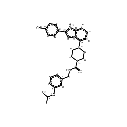 O=C(NCc1cccc(OC(F)F)c1)N1CCN(c2ncnc3[nH]c(-c4ccc(Cl)cc4)cc23)CC1